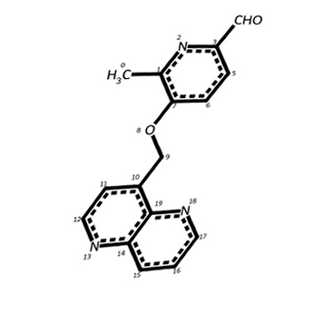 Cc1nc(C=O)ccc1OCc1ccnc2cccnc12